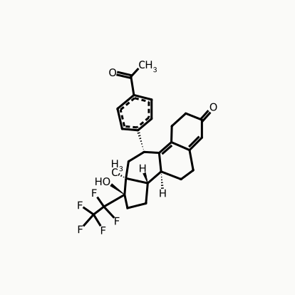 CC(=O)c1ccc([C@H]2C[C@@]3(C)[C@@H](CC[C@]3(O)C(F)(F)C(F)(F)F)[C@@H]3CCC4=CC(=O)CCC4=C32)cc1